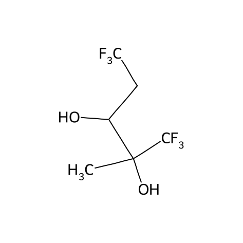 CC(O)(C(O)CC(F)(F)F)C(F)(F)F